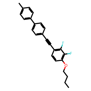 CCCCOc1ccc(C#Cc2ccc(-c3ccc(C)cc3)cc2)c(F)c1F